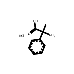 CC(N)(C(=O)O)c1ccccc1.Cl